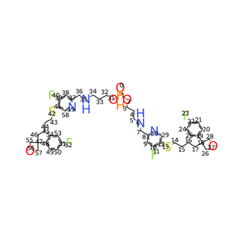 O=[PH](OCCCNCc1cc(F)c(SCCCCC2(c3ccc(F)cc3)COC2)cn1)OCCCNCc1cc(F)c(SCCCCC2(c3ccc(F)cc3)COC2)cn1